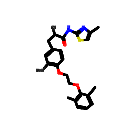 COc1cc(CC(C#N)C(=O)Nc2nc(C)cs2)ccc1OCCOc1c(C)cccc1C